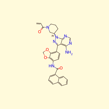 C=CC(=O)N1CCC[C@@H](n2nc(-c3ccc(NC(=O)c4cccc5ccccc45)c4c3OCO4)c3c(N)ncnc32)C1